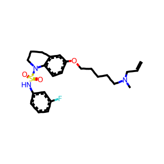 C=CCN(C)CCCCCOc1ccc2c(c1)CCCN2S(=O)(=O)Nc1cccc(F)c1